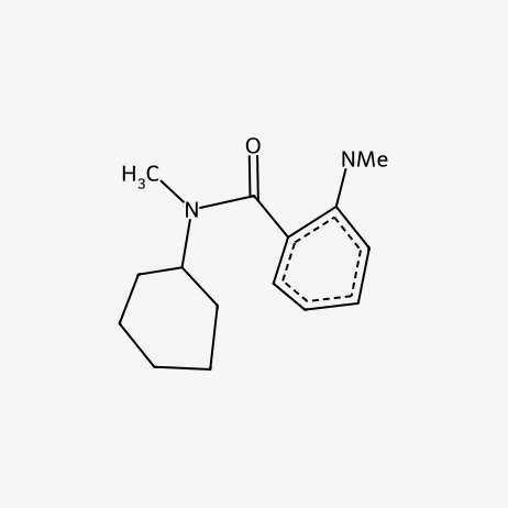 CNc1ccccc1C(=O)N(C)C1CCCCC1